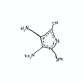 CC(C)n1nc(C#N)c(N)c1N